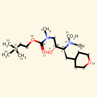 CN(C[C@@H](O)[C@H](CC1CCOCC1)N(C(=O)O)C(C)(C)C)C(=O)OCC[Si](C)(C)C